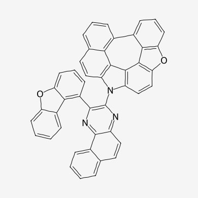 c1ccc2c(c1)ccc1nc(-n3c4ccc5cccc6c5c4c4c5c(ccc43)oc3cccc-6c35)c(-c3cccc4oc5ccccc5c34)nc12